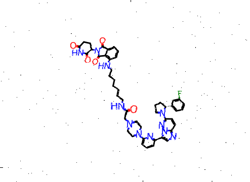 O=C(CN1CCN(c2cccc(-c3cnc4ccc(N5CCC[C@@H]5c5cccc(F)c5)nn34)n2)CC1)NCCCCCCCNc1cccc2c1C(=O)N(C1CCC(=O)NC1=O)C2=O